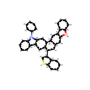 c1ccc(-n2c3ccccc3c3cc4c(-c5csc6ccccc56)cc5cc6oc7ccccc7c6cc5c4cc32)cc1